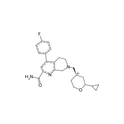 NC(=O)c1cc(-c2ccc(F)cc2)c2c(n1)CN(C[C@@H]1CCOC(C3CC3)C1)CC2